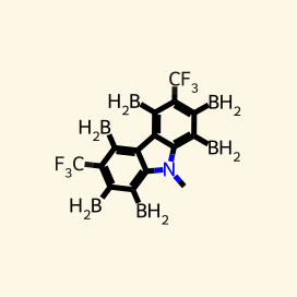 Bc1c(C(F)(F)F)c(B)c2c3c(B)c(C(F)(F)F)c(B)c(B)c3n(C)c2c1B